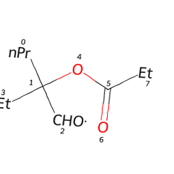 CCCC([C]=O)(CC)OC(=O)CC